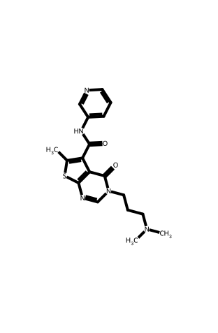 Cc1sc2ncn(CCCN(C)C)c(=O)c2c1C(=O)Nc1cccnc1